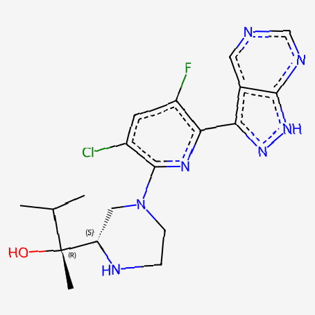 CC(C)[C@@](C)(O)[C@@H]1CN(c2nc(-c3n[nH]c4ncncc34)c(F)cc2Cl)CCN1